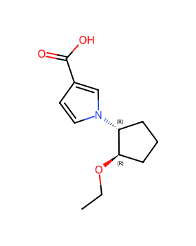 CCO[C@@H]1CCC[C@H]1n1ccc(C(=O)O)c1